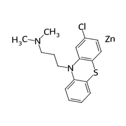 CN(C)CCCN1c2ccccc2Sc2ccc(Cl)cc21.[Zn]